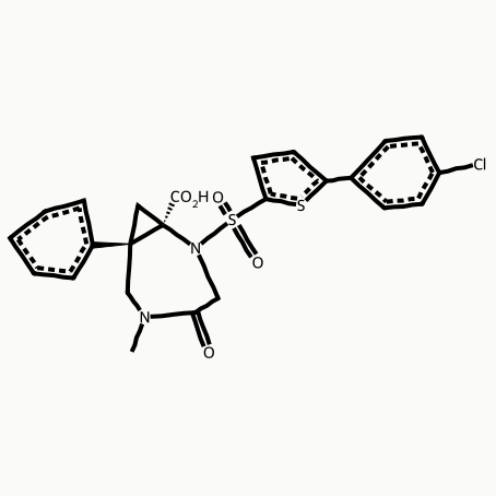 CN1C[C@]2(c3ccccc3)C[C@@]2(C(=O)O)N(S(=O)(=O)c2ccc(-c3ccc(Cl)cc3)s2)CC1=O